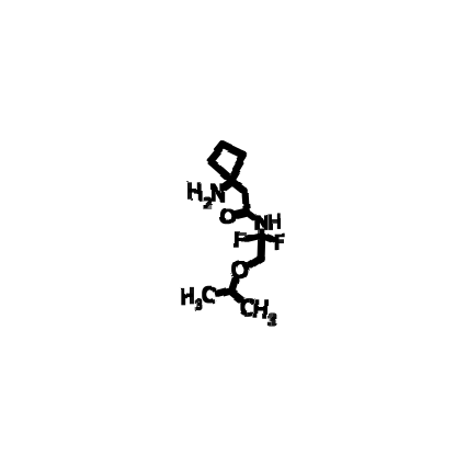 CC(C)OCC(F)(F)NC(=O)CC1(N)CCC1